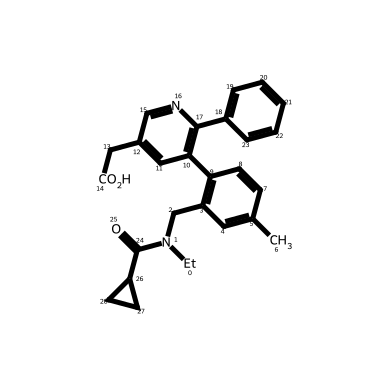 CCN(Cc1cc(C)ccc1-c1cc(CC(=O)O)cnc1-c1ccccc1)C(=O)C1CC1